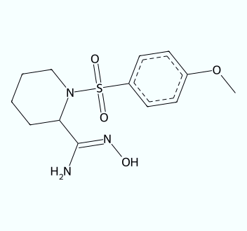 COc1ccc(S(=O)(=O)N2CCCCC2C(N)=NO)cc1